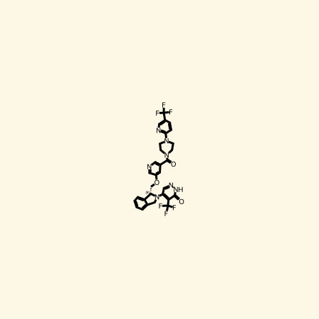 O=C(c1cncc(OC[C@H]2c3ccccc3CN2c2cn[nH]c(=O)c2C(F)(F)F)c1)N1CCN(c2ccc(C(F)(F)F)cn2)CC1